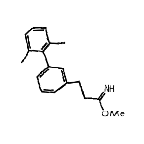 COC(=N)CCc1cccc(-c2c(C)cccc2C)c1